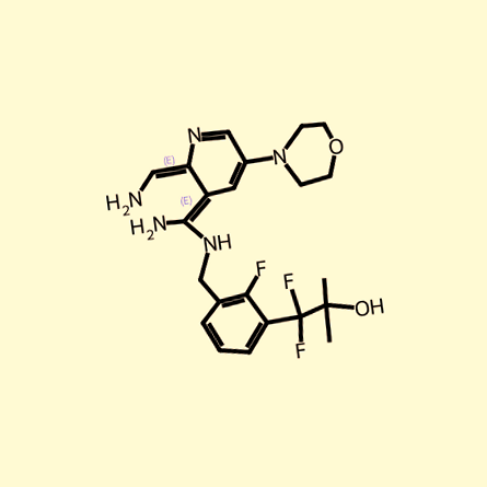 CC(C)(O)C(F)(F)c1cccc(CN/C(N)=c2\cc(N3CCOCC3)cn\c2=C\N)c1F